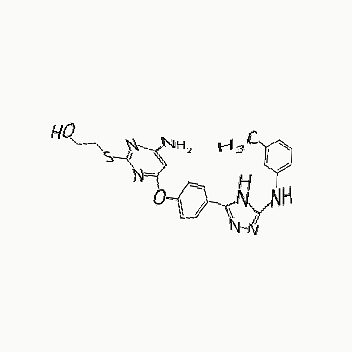 Cc1cccc(Nc2nnc(-c3ccc(Oc4cc(N)nc(SCCO)n4)cc3)[nH]2)c1